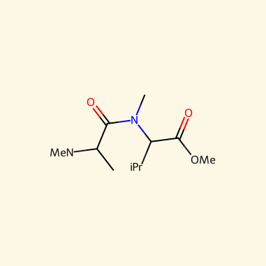 CNC(C)C(=O)N(C)C(C(=O)OC)C(C)C